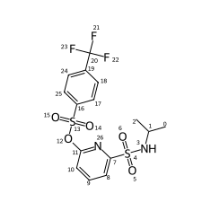 CC(C)NS(=O)(=O)c1cccc(OS(=O)(=O)c2ccc(C(F)(F)F)cc2)n1